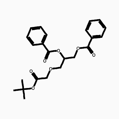 CC(C)(C)OC(=O)COCC(COC(=O)c1ccccc1)OC(=O)c1ccccc1